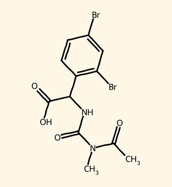 CC(=O)N(C)C(=O)NC(C(=O)O)c1ccc(Br)cc1Br